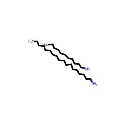 CCCCCCCCCCCCCCCCCCN.CCCCCCCCCCCN